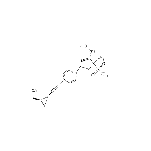 CC(CCc1ccc(C#C[C@H]2C[C@H]2CO)cc1)(C(=O)NO)S(C)(=O)=O